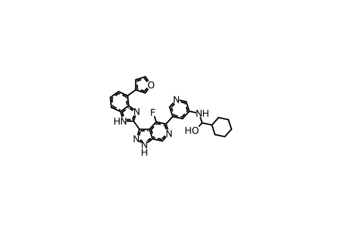 OC(Nc1cncc(-c2ncc3[nH]nc(-c4nc5c(-c6ccoc6)cccc5[nH]4)c3c2F)c1)C1CCCCC1